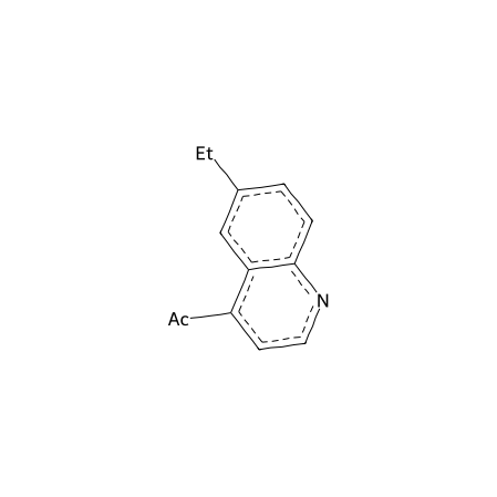 CCc1ccc2nccc(C(C)=O)c2c1